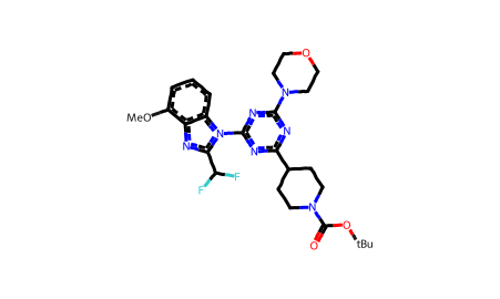 COc1cccc2c1nc(C(F)F)n2-c1nc(C2CCN(C(=O)OC(C)(C)C)CC2)nc(N2CCOCC2)n1